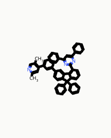 Cc1cc(-c2cccc(-c3ccc4c(c3)-c3c(-c5nc(-c6ccccc6)cc(-c6ccccc6)n5)cccc3C4(c3ccccc3)c3ccccc3)c2)c(C)cn1